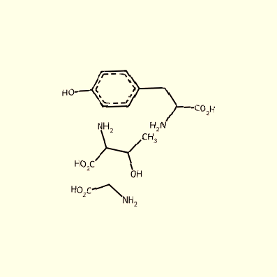 CC(O)C(N)C(=O)O.NC(Cc1ccc(O)cc1)C(=O)O.NCC(=O)O